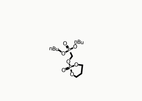 CCCCOP(=O)(COP1(=O)OCCCO1)OCCCC